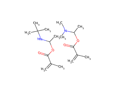 C=C(C)C(=O)OC(C)N(C)C.C=C(C)C(=O)OC(C)NC(C)(C)C